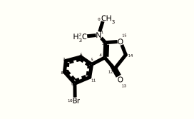 CN(C)C1=C(c2cccc(Br)c2)C(=O)CO1